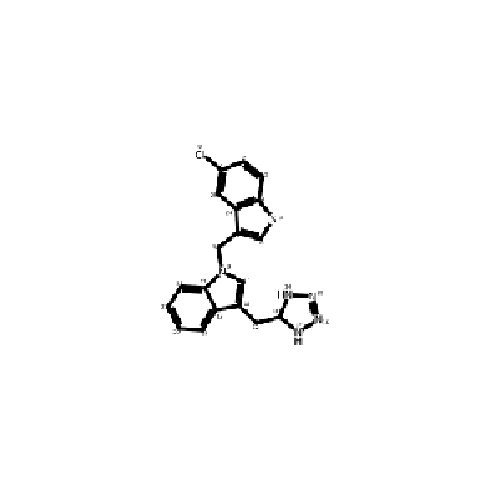 Clc1ccc2scc(Cn3cc(CC4NN=NN4)c4ccccc43)c2c1